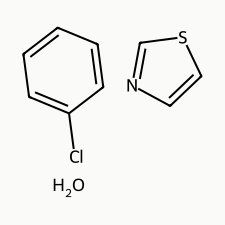 Clc1ccccc1.O.c1cscn1